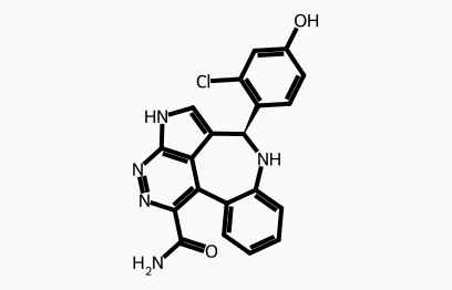 NC(=O)c1nnc2[nH]cc3c2c1-c1ccccc1N[C@@H]3c1ccc(O)cc1Cl